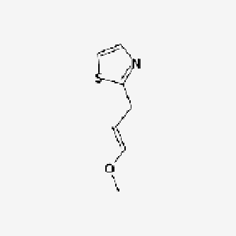 COC=CCc1nccs1